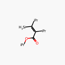 CC(C)OC(=O)C(=C([SiH3])C(C)C)C(C)C